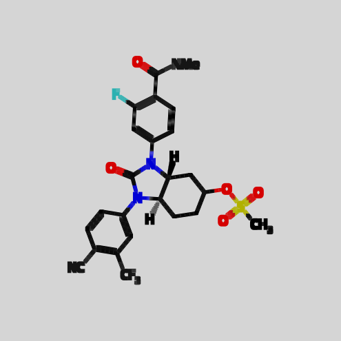 CNC(=O)c1ccc(N2C(=O)N(c3ccc(C#N)c(C(F)(F)F)c3)[C@@H]3CCC(OS(C)(=O)=O)C[C@H]32)cc1F